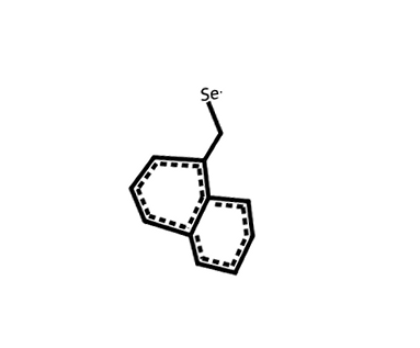 [Se]Cc1cccc2ccccc12